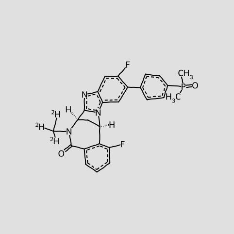 [2H]C([2H])([2H])N1C(=O)c2cccc(F)c2[C@H]2C[C@@H]1c1nc3cc(F)c(-c4ccc(P(C)(C)=O)cc4)cc3n12